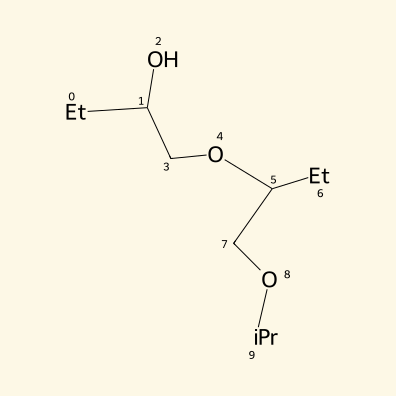 CCC(O)COC(CC)COC(C)C